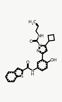 C=CCNC(=O)n1nc(-c2cc(NC(=O)c3cc4ccccc4s3)ccc2O)cc1C1CCC1